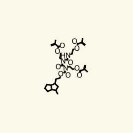 C=C(C)C(=O)OCCNC(=O)N(CCOC(=O)C(=C)C)C(=O)N(CCOC(=O)C(=C)C)C(=O)OCCC1CC(C)C2CCCC12